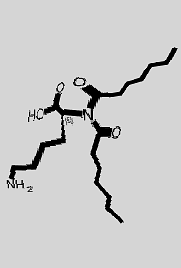 CCCCCCC(=O)N(C(=O)CCCCCC)[C@@H](CCCCN)C(=O)O